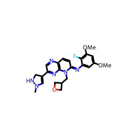 COc1cc(/N=c2\ccc3ncc(C4=CN(C)NC4)nc3n2CC2COC2)c(F)c(OC)c1